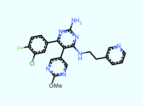 COc1ncc(-c2c(NCCc3cccnc3)nc(N)nc2-c2ccc(F)c(Cl)c2)cn1